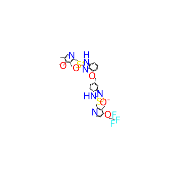 COc1c(C)cnc(C[S+]([O-])c2nc3c(OCc4ccc5[nH]c([S+]([O-])Cc6nccc(OCC(F)(F)F)c6C)nc5c4)cccc3[nH]2)c1C